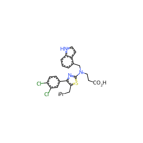 CC(C)Cc1sc(N(CCC(=O)O)Cc2cccc3[nH]ccc23)nc1-c1ccc(Cl)c(Cl)c1